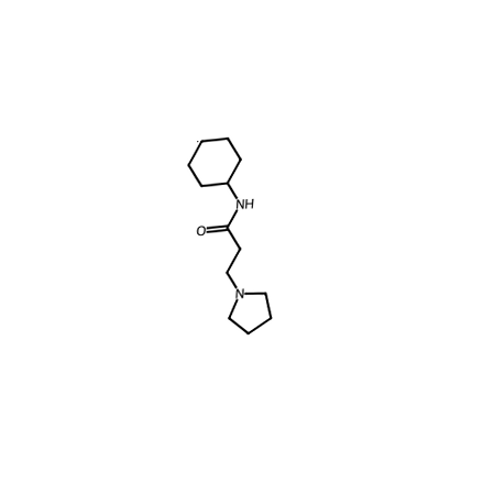 O=C(CCN1CCCC1)NC1CC[CH]CC1